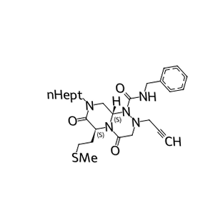 C#CCN1CC(=O)N2[C@@H](CCSC)C(=O)N(CCCCCCC)C[C@@H]2N1C(=O)NCc1ccccc1